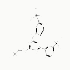 CC(C)(C)CNc1nc(Nc2ccnc(C(F)(F)F)c2)nc(-c2cccc(C(F)(F)F)n2)n1